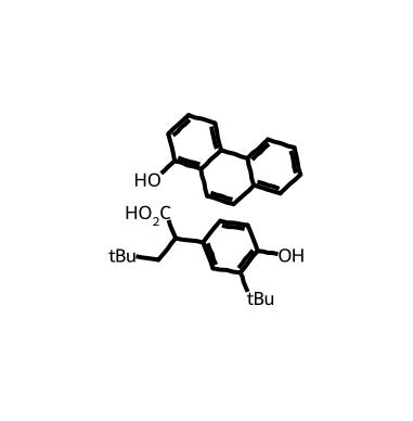 CC(C)(C)CC(C(=O)O)c1ccc(O)c(C(C)(C)C)c1.Oc1cccc2c1ccc1ccccc12